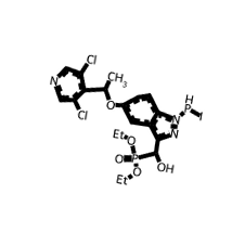 CCOP(=O)(OCC)C(O)c1nn(PI)c2ccc(OC(C)c3c(Cl)cncc3Cl)cc12